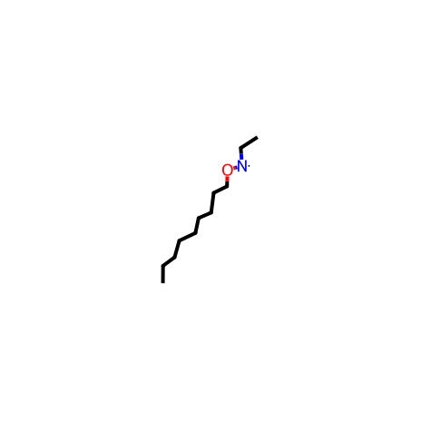 CCCCCCCCCO[N]CC